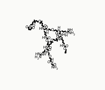 C#CCOC(=O)NCCCCC[C@H](NC(=O)[C@H](CCCNC(=N)N)NC(=O)CCOCCNC(=O)[C@H](CCCCNC(=O)OCC#C)NC(=O)CCC(C)(C)OCCC(C)(C)CC(=O)CN1C(=O)C=CC1=O)C(=O)NC(C)(C)CCOC(C)(C)CCC(=O)N[C@@H](CCCNC(=N)N)C(=O)NCCOCCC(=O)NCC(N)=O